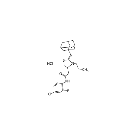 CCCN1/C(=N/C23CC4CC(CC(C4)C2)C3)SCC1CC(=O)Nc1ccc(Cl)cc1F.Cl